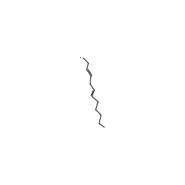 [CH2]CC=CCC=CCCCCC